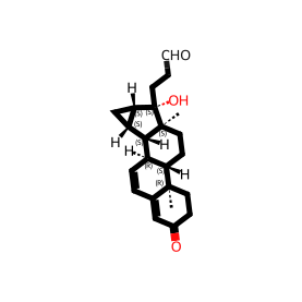 C[C@]12CCC(=O)C=C1C=C[C@H]1[C@@H]3[C@@H]4C[C@@H]4[C@@](O)(CCC=O)[C@@]3(C)CC[C@@H]12